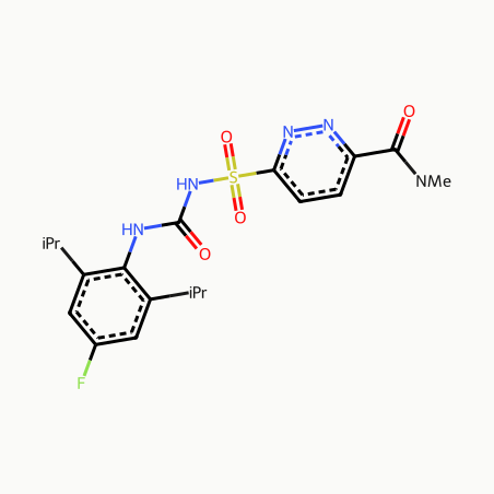 CNC(=O)c1ccc(S(=O)(=O)NC(=O)Nc2c(C(C)C)cc(F)cc2C(C)C)nn1